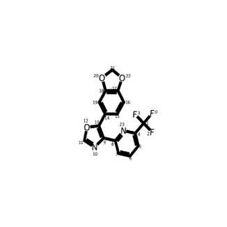 FC(F)(F)c1cccc(-c2ncoc2-c2ccc3c(c2)OCO3)n1